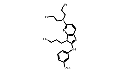 CSc1cccc(Nc2nc3ccc(N(CCC(C)C)CCC(C)C)nc3n2CCCN)c1